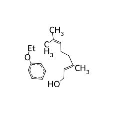 CC(C)=CCCC(C)=CCO.CCOc1ccccc1